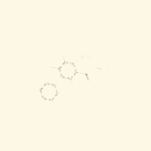 CCCCOC(=O)c1c(O)c(-c2ccccc2)c(CCCC)c(CCCC)c1CCCC